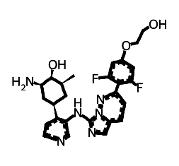 C[C@H]1C[C@@H](c2ccncc2Nc2ncc3ccc(-c4c(F)cc(OCCO)cc4F)nn23)C[C@@H](N)[C@H]1O